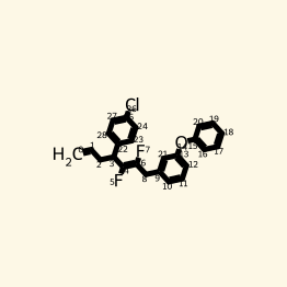 C=CCC(/C(F)=C(\F)Cc1cccc(Oc2ccccc2)c1)c1ccc(Cl)cc1